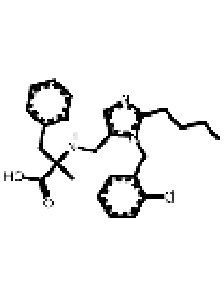 CCCCc1ncc(CNC(C)(Cc2ccccc2)C(=O)O)n1Cc1ccccc1Cl